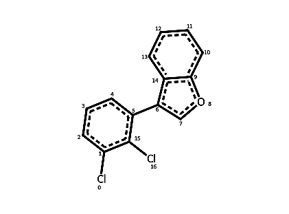 Clc1cccc(-c2coc3ccccc23)c1Cl